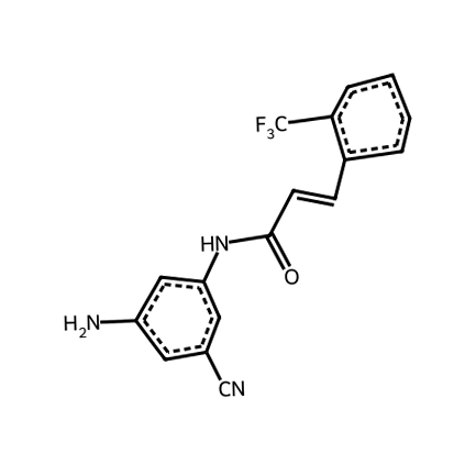 N#Cc1cc(N)cc(NC(=O)C=Cc2ccccc2C(F)(F)F)c1